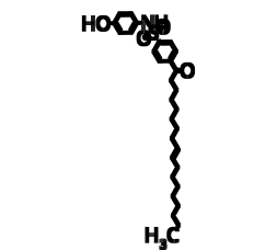 CCCCCCCCC=CCCCCCCCC(=O)c1ccc(S(=O)(=O)Nc2ccc(O)cc2)cc1